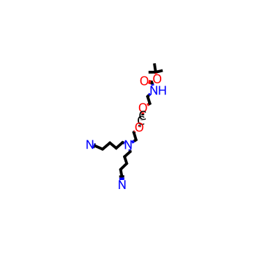 CC(C)(C)OC(=O)NCCOCCOCCN(CCCCC#N)CCCCC#N